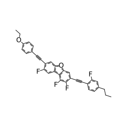 CCCc1ccc(C#Cc2cc3oc4cc(C#Cc5ccc(OCC)cc5)c(F)cc4c3c(F)c2F)c(F)c1